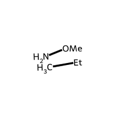 CCC.CON